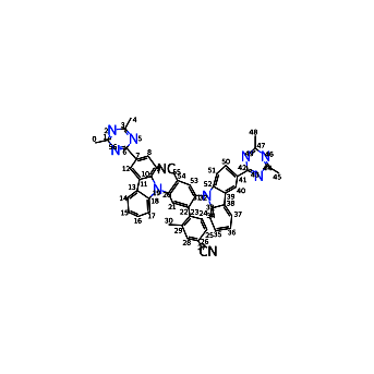 Cc1nc(C)nc(-c2ccc3c(c2)c2ccccc2n3-c2cc(-c3ccc(C#N)cc3C)c(-n3c4ccccc4c4cc(-c5nc(C)nc(C)n5)ccc43)cc2C#N)n1